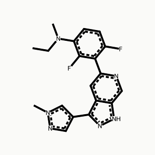 CCN(C)c1ccc(F)c(-c2cc3c(-c4cnn(C)c4)n[nH]c3cn2)c1F